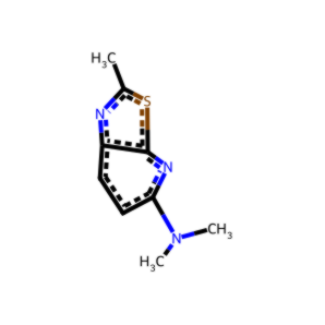 Cc1nc2ccc(N(C)C)nc2s1